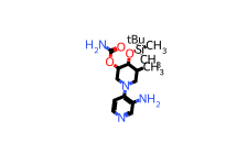 CC1CN(c2ccncc2N)CC(OC(N)=O)C1O[Si](C)(C)C(C)(C)C